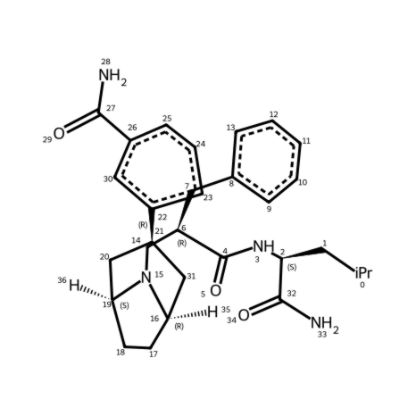 CC(C)C[C@H](NC(=O)[C@H](Cc1ccccc1)CN1[C@@H]2CC[C@H]1C[C@@H](c1cccc(C(N)=O)c1)C2)C(N)=O